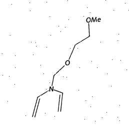 C=CN(C=C)COCCOC